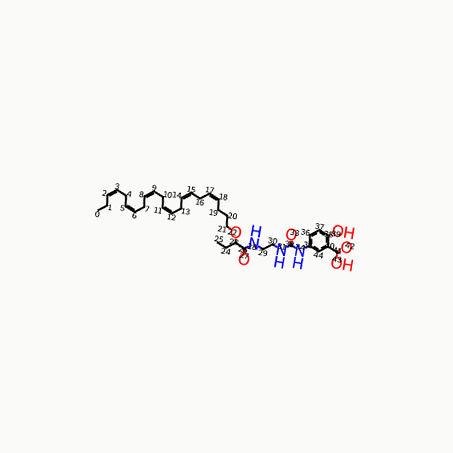 CC/C=C\C/C=C\C/C=C\C/C=C\C/C=C\C/C=C\CCCOC(CC)C(=O)NCCNC(=O)Nc1ccc(O)c(C(=O)O)c1